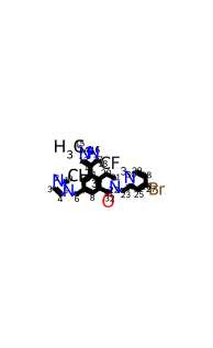 Cc1nccn1Cc1cc2c(c(-c3cn(C)nc3C(F)(F)F)c1)CCN(Cc1cc(Br)ccn1)C2=O